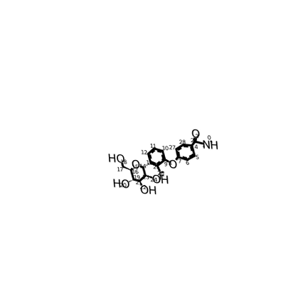 CNC(=O)c1ccc(Oc2cccc([C@H]3O[C@H](CO)[C@@H](O)[C@H](O)[C@@H]3O)c2F)cc1